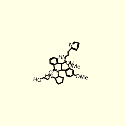 COc1ccc(C2C(C(O)NCCc3ccccn3)c3ccccc3C(=O)N2C2CCCCC2NCCO)c(OC)c1